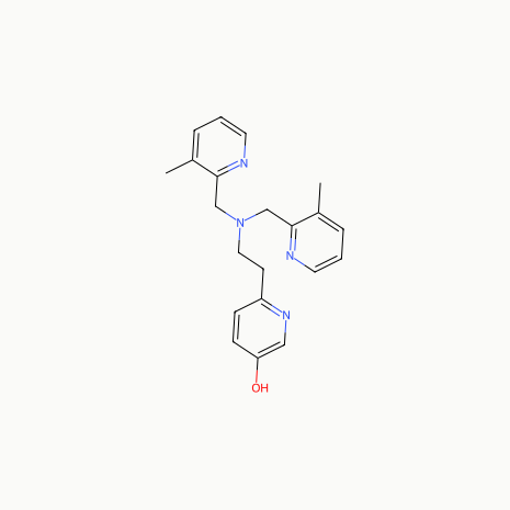 Cc1cccnc1CN(CCc1ccc(O)cn1)Cc1ncccc1C